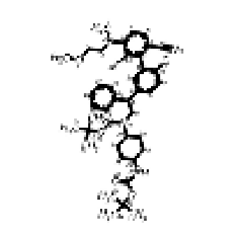 COCCN(C)c1ccc(C#N)c(-c2cc(C(CN(C(=O)OC(C)(C)C)C3CCC(NC(=O)OC(C)(C)C)CC3)c3ccccc3)ccc2Cl)c1F